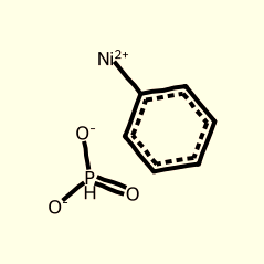 O=[PH]([O-])[O-].[Ni+2][c]1ccccc1